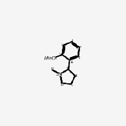 COc1ccccc1C1CCCN1C